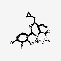 C=CC1=C(C(=O)OC)N(N)C(c2ccc(Cl)c(F)c2Cl)N=C1CC1CC1